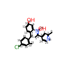 Cc1cc(C(C[C@@H](c2ccc(O)cc2)c2ccc(Cl)cc2C)=NO)ccn1